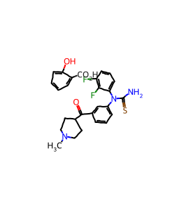 CN1CCC(C(=O)c2cccc(N(C(N)=S)c3cccc(F)c3F)c2)CC1.O=C(O)c1ccccc1O